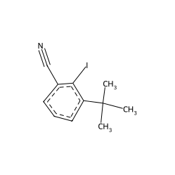 CC(C)(C)c1cccc(C#N)c1I